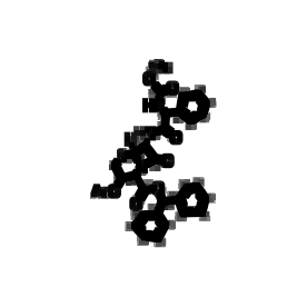 CC(=O)OC1CS[C@H]2[C@H](NC(=O)C(NC(=O)OC(C)(C)C)c3ccccc3)C(=O)N2[C@H]1C(=O)OC(c1ccccc1)c1ccccc1